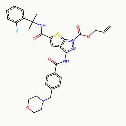 C=CCOC(=O)n1nc(NC(=O)c2ccc(CN3CCOCC3)cc2)c2cc(C(=O)NC(C)(C)c3ccccc3F)sc21